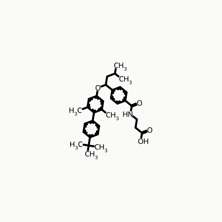 Cc1cc(OC(CC(C)C)c2ccc(C(=O)NCCC(=O)O)cc2)cc(C)c1-c1ccc(C(C)(C)C)cc1